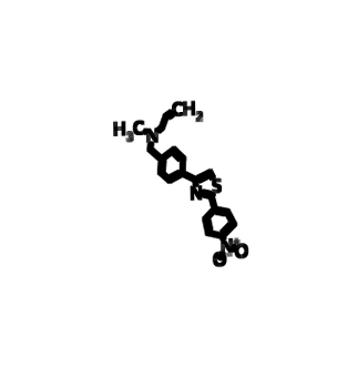 C=CCN(C)Cc1ccc(-c2csc(-c3ccc([N+](=O)[O-])cc3)n2)cc1